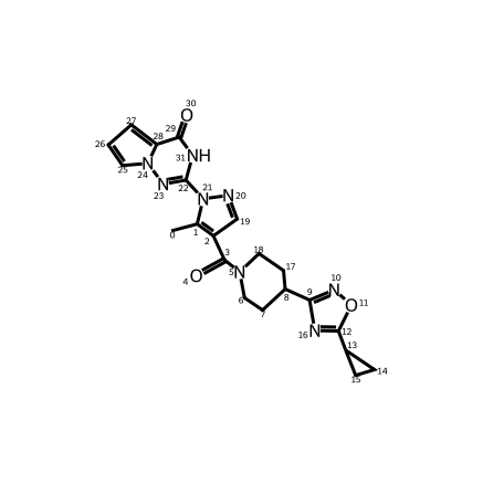 Cc1c(C(=O)N2CCC(c3noc(C4CC4)n3)CC2)cnn1-c1nn2cccc2c(=O)[nH]1